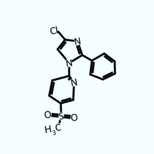 CS(=O)(=O)c1ccc(-n2cc(Cl)nc2-c2ccccc2)nc1